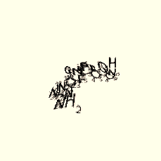 CC(C)N(Cc1ccc(-c2ccc[nH]c2=O)cc1F)C(=O)c1cc2c(cc1F)nc(N)c1cncn12